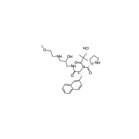 COCCNCC(O)CNC(=O)[C@@H](Cc1ccc2ccccc2c1)N(C(=O)[C@@H]1CCCN1)C(=O)C(C)(C)C.Cl